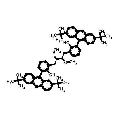 CO[C@H](Cc1cccc(-c2c3ccc(C(C)(C)C)cc3cc3ccc(C(C)(C)C)cc23)c1O)[C@@H](Cc1cccc(-c2c3ccc(C(C)(C)C)cc3cc3ccc(C(C)(C)C)cc23)c1O)OC